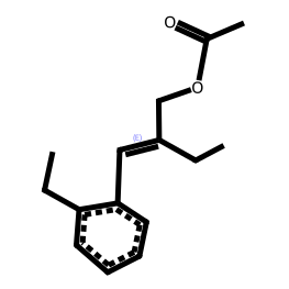 CC/C(=C\c1ccccc1CC)COC(C)=O